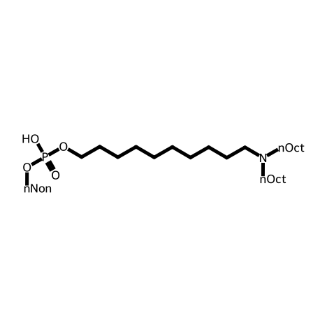 CCCCCCCCCOP(=O)(O)OCCCCCCCCCCN(CCCCCCCC)CCCCCCCC